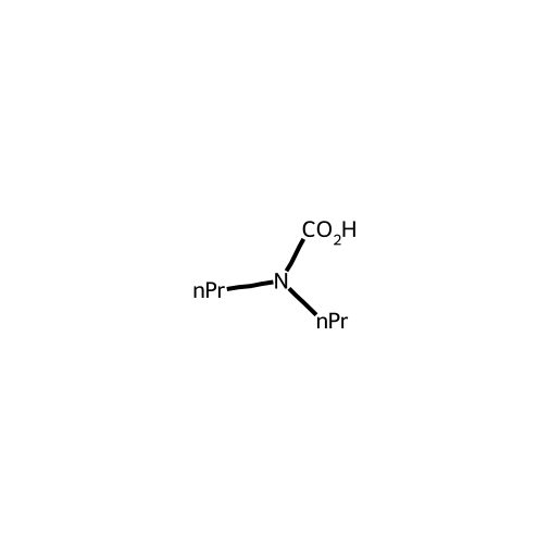 CCCN(CCC)C(=O)O